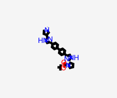 CN1CCC(c2nc(-c3ccc(-c4ccc(-c5c[nH]c([C@@H]6CCCN6C(=O)OC(C)(C)C)n5)cc4)cc3)c[nH]2)C1